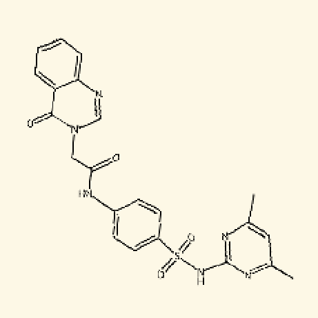 Cc1cc(C)nc(NS(=O)(=O)c2ccc(NC(=O)Cn3cnc4ccccc4c3=O)cc2)n1